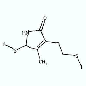 CC1=C(CCSI)C(=O)NC1SI